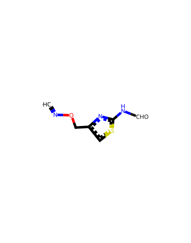 [CH]=NOCc1csc(NC=O)n1